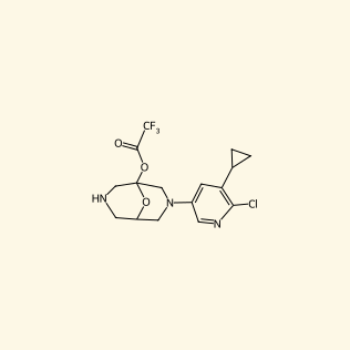 O=C(OC12CNCC(CN(c3cnc(Cl)c(C4CC4)c3)C1)O2)C(F)(F)F